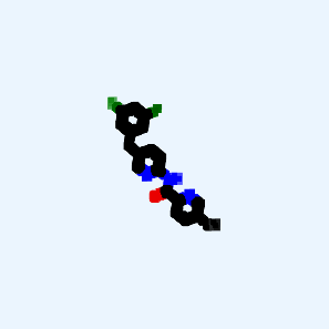 N#Cc1ccc(C(=O)Nc2ccc(Cc3cc(F)cc(F)c3)cn2)nc1